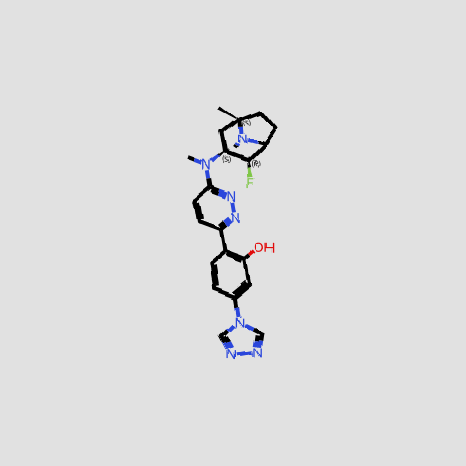 CN(c1ccc(-c2ccc(-n3cnnc3)cc2O)nn1)[C@H]1C[C@]2(C)CCC([C@H]1F)N2C